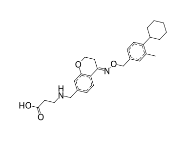 Cc1cc(CON=C2CCOc3cc(CNCCC(=O)O)ccc32)ccc1C1CCCCC1